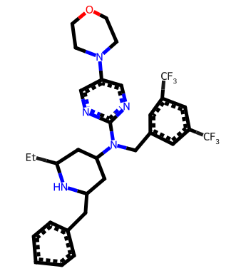 CCC1CC(N(Cc2cc(C(F)(F)F)cc(C(F)(F)F)c2)c2ncc(N3CCOCC3)cn2)CC(Cc2ccccc2)N1